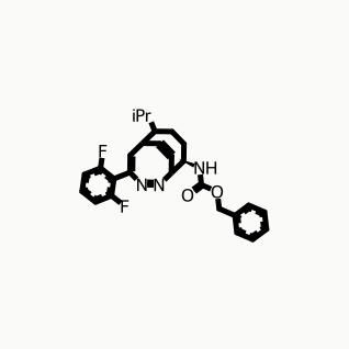 CC(C)C1CC[C@@H](NC(=O)OCc2ccccc2)C2C#CC1/C=C(c1c(F)cccc1F)\N=N/2